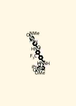 CNC(=O)N1CCN(c2ccc(C(=O)Nc3cc(C(F)(F)F)c(-c4ccc(C5=CNC([C@@H]6C[C@H](C)CN6C(=O)[C@@H](NC(=O)OC)C(C)C)N5)cc4)cc3F)cn2)[C@H](C)C1